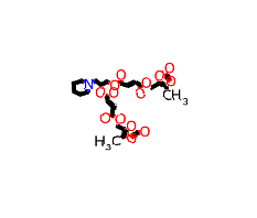 Cc1oc(=O)oc1COC(=O)/C=C/C(=O)OCC(CN1CCCCC1)OC(=O)/C=C/C(=O)OCc1oc(=O)oc1C